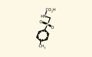 Cc1ccc(S(=O)(=O)CNC(=O)O)cc1